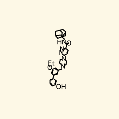 CCOc1cc(CN2CCN(c3ccc(C(=O)NCC45CC6CC(CC(C6)C4)C5)nn3)CC2)cc(-c2cccc(O)c2)c1